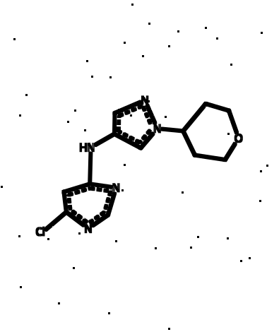 Clc1cc(Nc2cnn(C3CCOCC3)c2)ncn1